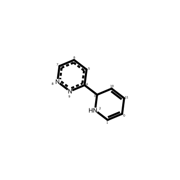 C1=CNC(c2cccnn2)C=C1